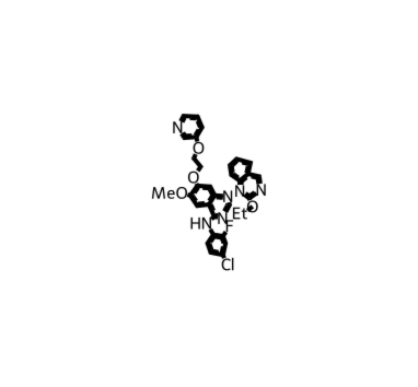 CCOc1ncc2ccccc2n1.COc1cc2c(Nc3ccc(Cl)cc3F)ncnc2cc1OCCOc1cccnc1